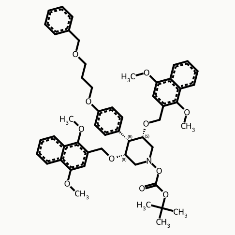 COc1cc(CO[C@H]2CN(OC(=O)OC(C)(C)C)C[C@@H](OCc3cc(OC)c4ccccc4c3OC)[C@H]2c2ccc(OCCCOCc3ccccc3)cc2)c(OC)c2ccccc12